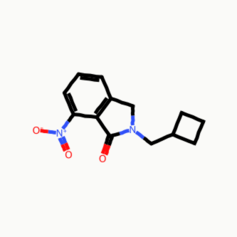 O=C1c2c(cccc2[N+](=O)[O-])CN1CC1CCC1